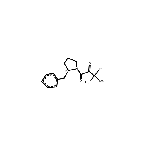 CCC(C)(C)C(=O)C(=O)N1CCC[C@@H]1Cc1ccccc1